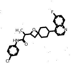 CC(C(=O)Nc1ccc(Cl)cc1)C1CC2(CCC(c3ccnc4ccc(F)cc34)CC2)O1